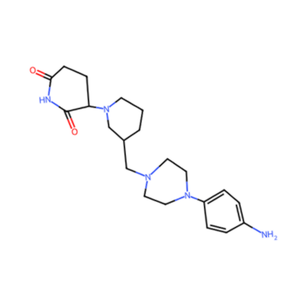 Nc1ccc(N2CCN(CC3CCCN(C4CCC(=O)NC4=O)C3)CC2)cc1